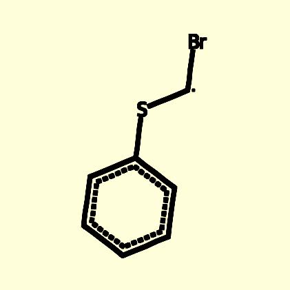 Br[CH]Sc1ccccc1